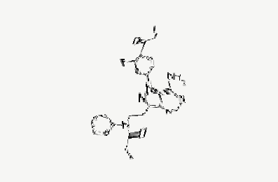 C=CC(=O)c1ccc(-n2nc(CCN(C(=O)C=C)c3ccccc3)c3ncnc(N)c32)cc1F